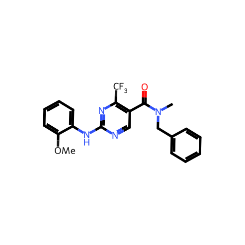 COc1ccccc1Nc1ncc(C(=O)N(C)Cc2ccccc2)c(C(F)(F)F)n1